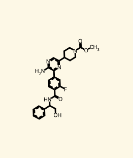 COC(=O)N1CCC(c2cnc(N)c(-c3ccc(C(=O)NC(CO)c4ccccc4)c(F)c3)n2)CC1